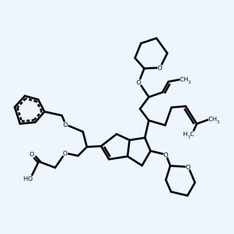 CC=CC(CC(CCC=C(C)C)C1C(OC2CCCCO2)CC2C=C(C(COCC(=O)O)COCc3ccccc3)CC21)OC1CCCCO1